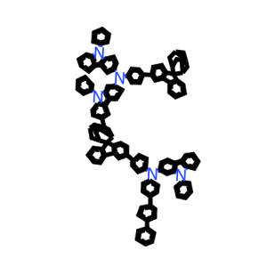 c1ccc(-c2ccc(-c3ccc(N(c4ccc(-c5ccc6c(c5)-c5ccccc5C65C6CC7CC5CC(c5ccc8c(c5)c5ccc(N(c9ccc(-c%10ccc%11c(c%10)-c%10ccccc%10C%11%10C%11CC%12CC(C%11)CC%10C%12)cc9)c9ccc%10c(c9)c9ccccc9n%10-c9ccccc9)cc5n8-c5ccccc5)(C7)C6)cc4)c4ccc5c6ccccc6n(-c6ccccc6)c5c4)cc3)cc2)cc1